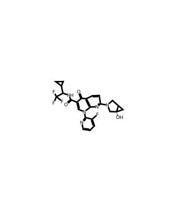 O=C(NC(C1CC1)C(F)(F)F)c1cn(-c2ncccc2F)c2nc(N3CC4C[C@@]4(O)C3)ccc2c1=O